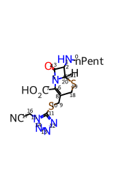 CCCCCNC1C(=O)N2C(C(=O)O)=C(CSc3nnnn3CC#N)CS[C@@H]12